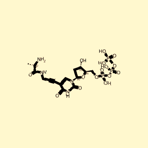 C[C@H](N)C(=O)NCC#Cc1cn([C@H]2C[C@H](O)[C@@H](COP(=O)(O)OP(=O)(O)OP(=O)(O)O)O2)c(=O)[nH]c1=O